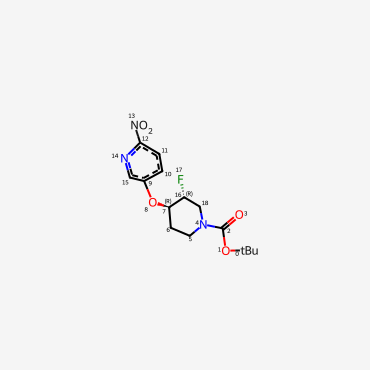 CC(C)(C)OC(=O)N1CC[C@@H](Oc2ccc([N+](=O)[O-])nc2)[C@H](F)C1